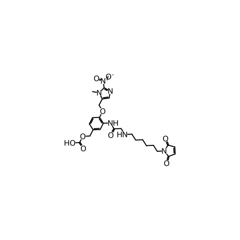 Cn1c(COc2ccc(COC(=O)O)cc2NC(=O)CNCCCCCCN2C(=O)C=CC2=O)cnc1[N+](=O)[O-]